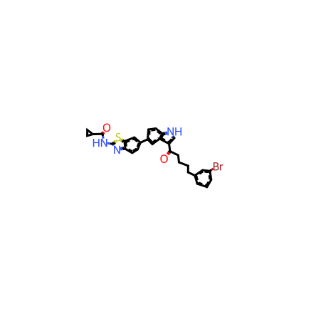 O=C(CCCCc1cccc(Br)c1)c1c[nH]c2ccc(-c3ccc4nc(NC(=O)C5CC5)sc4c3)cc12